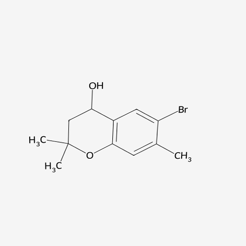 Cc1cc2c(cc1Br)C(O)CC(C)(C)O2